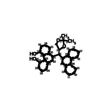 CC1(C)OC[C@H](C(c2cc3ccccc3c3ccccc23)c2cc3cccc(O)c3c3c(O)cccc23)O1